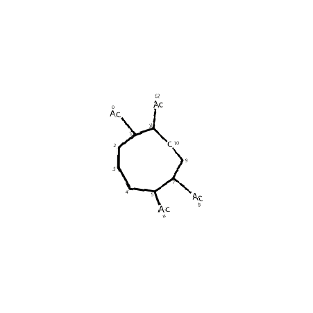 CC(=O)C1CCCC(C(C)=O)C(C(C)=O)CCC1C(C)=O